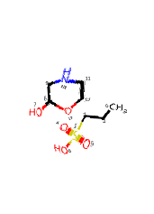 CCCS(=O)(=O)O.OC1CNCCO1